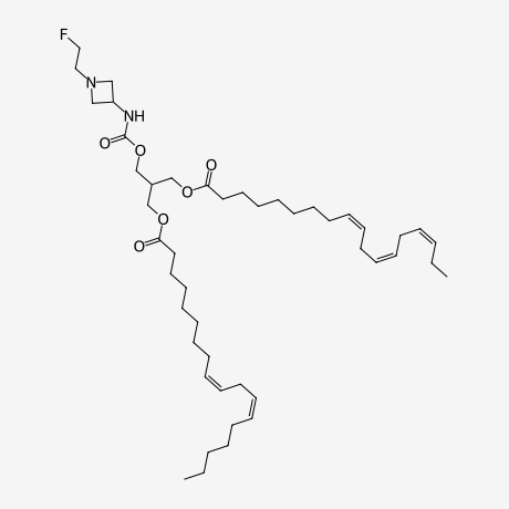 CC/C=C\C/C=C\C/C=C\CCCCCCCC(=O)OCC(COC(=O)CCCCCCC/C=C\C/C=C\CCCCC)COC(=O)NC1CN(CCF)C1